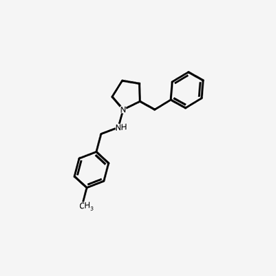 Cc1ccc(CNN2CCCC2Cc2ccccc2)cc1